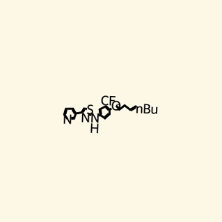 CCCCC=CCCOc1ccc(Nc2nc(-c3cccnc3)cs2)cc1C(F)(F)F